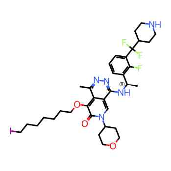 Cc1nnc(N[C@H](C)c2cccc(C(F)(F)C3CCNCC3)c2F)c2cn(C3CCOCC3)c(=O)c(OCCCCCCCI)c12